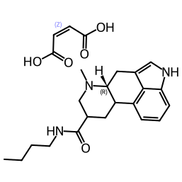 CCCCNC(=O)C1CC2c3cccc4[nH]cc(c34)C[C@H]2N(C)C1.O=C(O)/C=C\C(=O)O